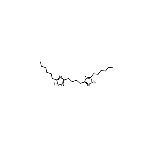 CCCCCCc1nc(CCCCc2n[nH]c(CCCCCC)n2)n[nH]1